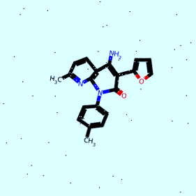 Cc1ccc(-n2c(=O)c(-c3ccco3)c(N)c3ccc(C)nc32)cc1